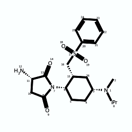 CC(C)N(C)[C@@H]1CC[C@H](N2C(=O)C[C@H](N)C2=O)[C@H](CS(=O)(=O)c2ccccc2)C1